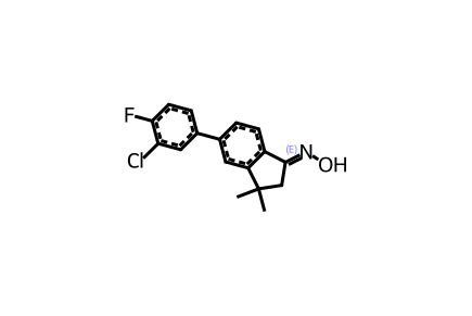 CC1(C)C/C(=N\O)c2ccc(-c3ccc(F)c(Cl)c3)cc21